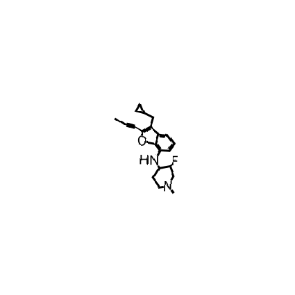 CC#Cc1oc2c(NC3CCN(C)CC3F)cccc2c1CC1CC1